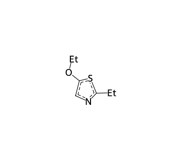 CCOc1cnc(CC)s1